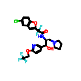 O=C(N[C@H](CN1CCCC1)[C@H](O)c1ccc(OCC(F)(F)F)nc1)C(F)(F)c1cc2cc(Cl)ccc2o1